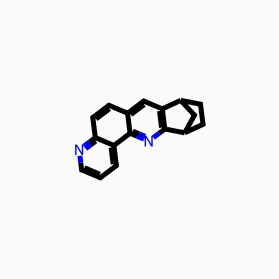 c1cnc2ccc3cc4c(nc3c2c1)C1CCC4C1